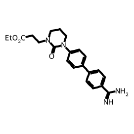 CCOC(=O)CCN1CCCN(c2ccc(-c3ccc(C(=N)N)cc3)cc2)C1=O